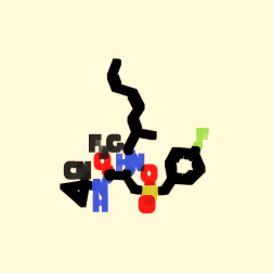 C\C=C/C=C\C=C(/C)[C@H](N[C@@H](CS(=O)(=O)Cc1ccc(F)cc1)C(=O)NC1(C#N)CC1)C(F)(F)F